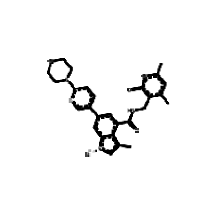 CC[C@@H](C)n1cc(C)c2c(C(=O)NCc3c(C)cc(C)[nH]c3=O)cc(-c3ccc(N4CCNCC4)nc3)cc21